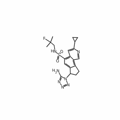 CC(C)(F)CNS(=O)(=O)c1cc2c(c3cnc(C4CC4)cc13)CCC2n1nnnc1N